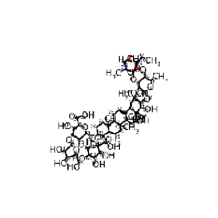 C/C=C(/C)C(=O)O[C@@H]1C(O)[C@H](O[C@H]2[C@H](O)[C@@]3(CO)C(CC2(C)C)C2=CCC4[C@@]5(C)CC[C@H](O[C@@H]6OC(C(=O)O)[C@@H](O)[C@@H](O[C@@H]7O[C@@H](CO)[C@@H](O)C7O)C6O[C@@H]6OC(CO)[C@H](O)[C@@H](O)C6O)C(C)(C)C5CC[C@@]4(C)[C@]2(C)C[C@H]3O)OC(C)[C@@H]1OC(=O)/C(C)=C\C